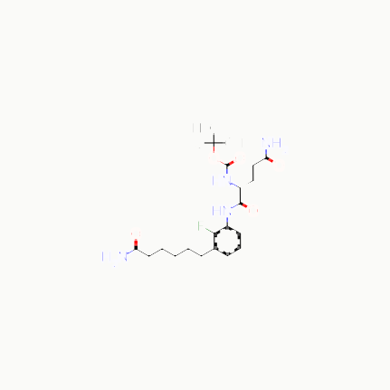 CC(C)(C)OC(=O)N[C@@H](CCC(N)=O)C(=O)Nc1cccc(CCCCCC(N)=O)c1F